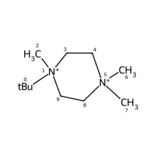 CC(C)(C)[N+]1(C)CC[N+](C)(C)CC1